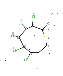 ClC1CCSC(Cl)C(Cl)C(Cl)C(Cl)C1Cl